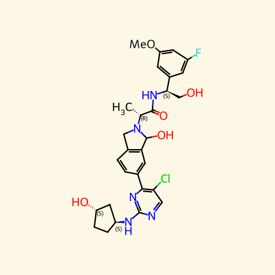 COc1cc(F)cc([C@@H](CO)NC(=O)[C@@H](C)N2Cc3ccc(-c4nc(N[C@H]5CC[C@H](O)C5)ncc4Cl)cc3C2O)c1